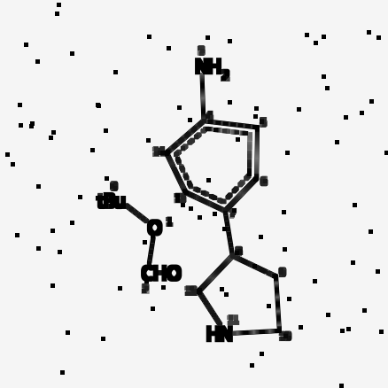 CC(C)(C)OC=O.Nc1ccc(C2CCNC2)cc1